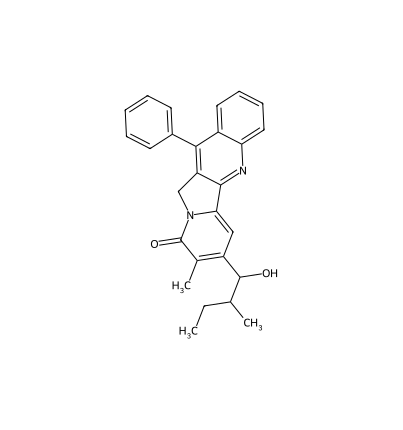 CCC(C)C(O)c1cc2n(c(=O)c1C)Cc1c-2nc2ccccc2c1-c1ccccc1